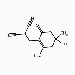 CC1=C(CC(C#N)C#N)C(=O)CC(C)(C)C1